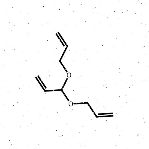 C=CCO[C](C=C)OCC=C